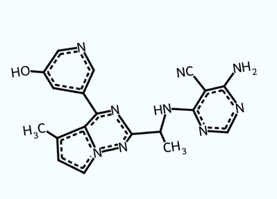 Cc1ccn2nc(C(C)Nc3ncnc(N)c3C#N)nc(-c3cncc(O)c3)c12